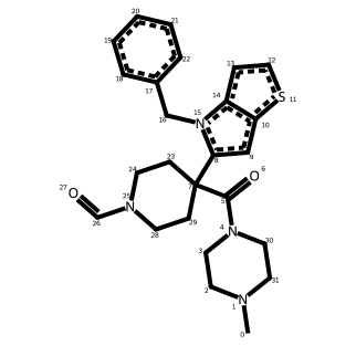 CN1CCN(C(=O)C2(c3cc4sccc4n3Cc3ccccc3)CCN(C=O)CC2)CC1